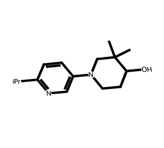 CC(C)c1ccc(N2CCC(O)C(C)(C)C2)cn1